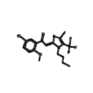 CCCCN1C(C(F)(F)F)=C(C)S/C1=C\C(=O)c1cc(Cl)ccc1OC